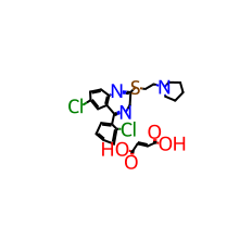 Clc1ccc2c(c1)C(c1ccccc1Cl)=NCC(SCCN1CCCCC1)=N2.O=C(O)/C=C/C(=O)O